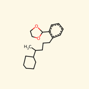 CC(CCCc1ccccc1C1OCCO1)C1CCCCC1